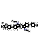 CC(=O)c1ccc(-c2ccc3c(c2)/c(=N\C#N)c2nc4c(nc23)/c(=N/C#N)c2cc(-c3ccc(C(=O)C(F)(F)F)cc3)ccc24)cc1